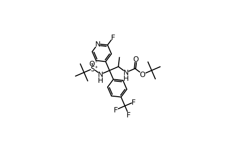 CC(NC(=O)OC(C)(C)C)C(N[S@+]([O-])C(C)(C)C)(c1ccc(C(F)(F)F)cc1)c1ccnc(F)c1